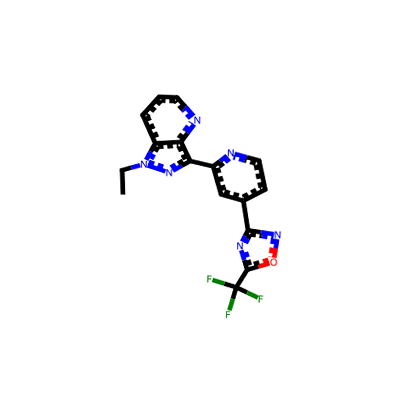 CCn1nc(-c2cc(-c3noc(C(F)(F)F)n3)ccn2)c2ncccc21